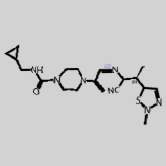 C=C(/C=N\C(C#N)[C@@H](C)C1C=NN(C)S1)N1CCN(C(=O)NCC2CC2)CC1